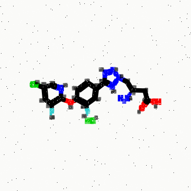 Cl.N[C@@H](CC(=O)O)Cn1nnc(-c2ccc(Oc3ncc(Cl)cc3F)c(F)c2)n1